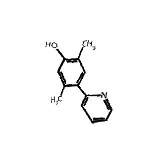 Cc1cc(-c2ccccn2)c(C)cc1O